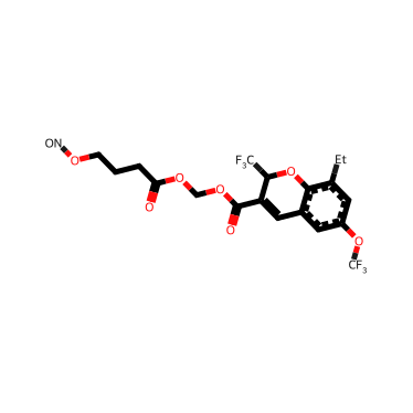 CCc1cc(OC(F)(F)F)cc2c1OC(C(F)(F)F)C(C(=O)OCOC(=O)CCCON=O)=C2